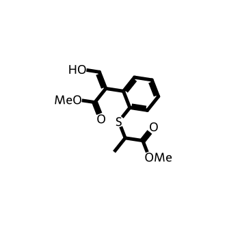 COC(=O)C(=CO)c1ccccc1SC(C)C(=O)OC